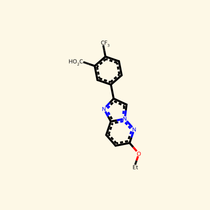 CCOc1ccc2nc(-c3ccc(C(F)(F)F)c(C(=O)O)c3)cn2n1